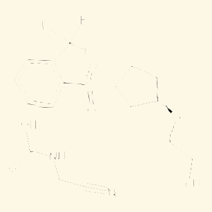 CCCO[C@@H]1CC[C@@H](S(=O)(=O)c2ccccc2C(F)(F)F)C1.N#CCNC(=O)O